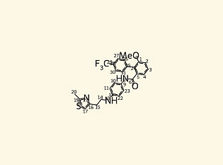 COc1cccc(C(=O)Nc2ccc(NCCc3csc(C)n3)cc2)c1-c1ccc(C(F)(F)F)cc1